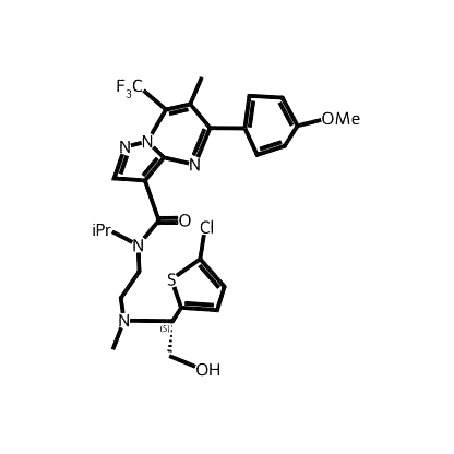 COc1ccc(-c2nc3c(C(=O)N(CCN(C)[C@@H](CO)c4ccc(Cl)s4)C(C)C)cnn3c(C(F)(F)F)c2C)cc1